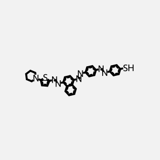 Sc1ccc(N=Nc2ccc(N=Nc3ccc(N=Nc4ccc(N5CCCCC5)s4)c4ccccc34)cc2)cc1